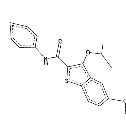 COc1ccc2sc(C(=O)Nc3ccccc3)c(OC(C)C)c2c1